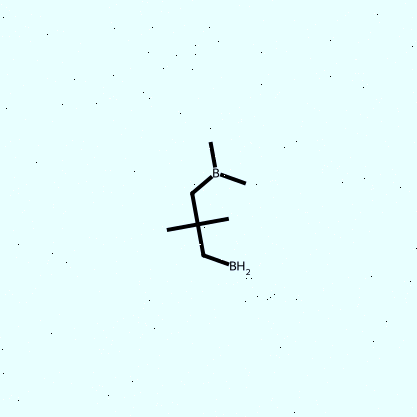 BCC(C)(C)CB(C)C